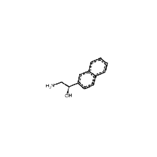 NC[C@H](O)c1ccc2ccccc2c1